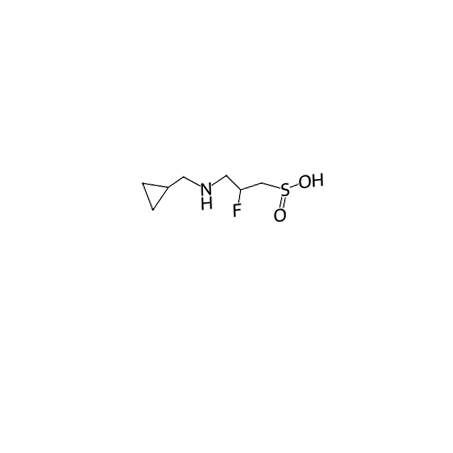 O=S(O)CC(F)CNCC1CC1